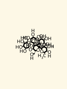 C[C@@H]1OC(C2(O)O[C@H](CO)[C@@H](O[C@@H]3O[C@H](CO)[C@H](O)[C@H](O)[C@H]3O)[C@@](O)(C3O[C@@H](C)[C@@H](O)[C@@H](O)[C@@H]3O)[C@]2(O)C2O[C@@H](C)[C@@H](O)[C@@H](O)[C@@H]2O)[C@@H](O)[C@H](O)[C@@H]1O